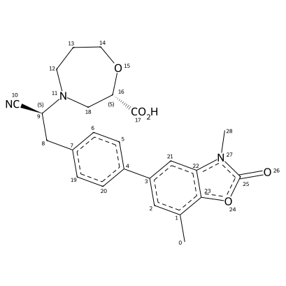 Cc1cc(-c2ccc(C[C@@H](C#N)N3CCCO[C@H](C(=O)O)C3)cc2)cc2c1oc(=O)n2C